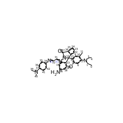 CCN(CC)c1cc2c(cc1C)C1(c3ccc(N)cc3O2)c2ccccc2C(=O)N1/N=C/C=N/c1ccc(N(C)C)cc1